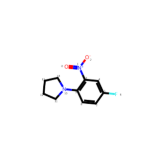 O=[N+]([O-])c1cc(F)ccc1N1CCCC1